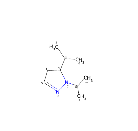 CC(C)C1CC=NN1C(C)C